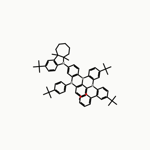 Cc1cc2c3c(c1)N(c1ccc(C(C)(C)C)cc1-c1ccccc1)c1cc(C(C)(C)C)ccc1B3c1ccc(N3c4ccc(C(C)(C)C)cc4C4(C)CCCCCC34C)cc1N2c1ccc(C(C)(C)C)cc1